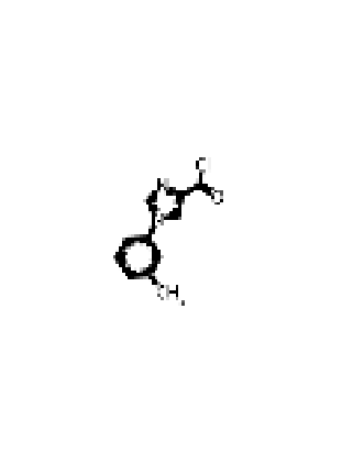 Cc1cccc(-n2cnc(C(=O)Cl)c2)c1